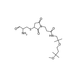 COC(C)(C)CCOC(C)(C)CNC(=O)CCN1C(=O)CC(SCC(N)C=O)C1=O